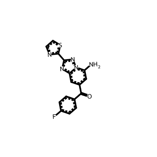 Nc1cc(C(=O)c2ccc(F)cc2)cc2nc(-c3nccs3)nn12